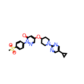 CS(=O)(=O)c1ccc(-n2ncc(OC3CCN(c4ncc(C5CC5)cn4)CC3)cc2=O)cc1